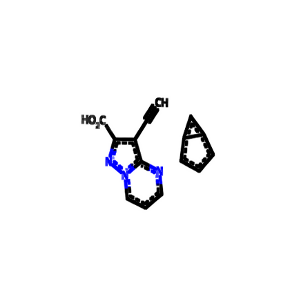 C#Cc1c(C(=O)O)nn2cccnc12.c1cc2cc-2c1